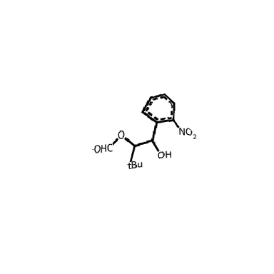 CC(C)(C)C(O[C]=O)C(O)c1ccccc1[N+](=O)[O-]